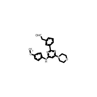 O=CCc1cccc(-c2nc(Nc3ccc(OC(F)(F)F)cc3)cc(N3CCOCC3)n2)c1